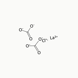 O=C([O-])[O-].O=C([O-])[O-].[Cl+].[La+3]